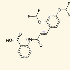 O=C(/C=C/c1ccc(OC(F)F)cc1OC(F)F)Nc1ccccc1C(=O)O